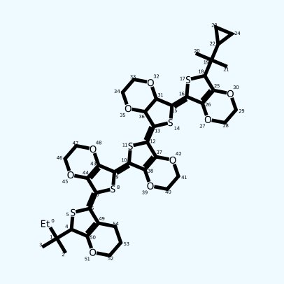 CCC(C)(C)C1S/C(=c2/s/c(=c3/s/c(=C4/S/C(=C5/SC(C(C)(C)C6CC6)C6=C5OCCO6)C5OCCOC45)c4c3OCCO4)c3c2OCCO3)C2=C1OCCC2